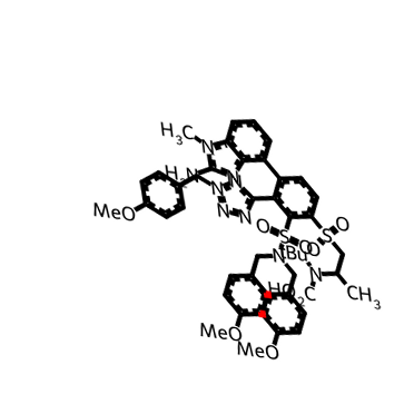 COc1ccc(CN(Cc2ccc(OC)cc2)S(=O)(=O)c2c(S(=O)(=O)CC(C)N(C(=O)O)C(C)(C)C)ccc(-c3cccc4c3nc(N)n4C)c2-c2nnn(Cc3ccc(OC)cc3)n2)cc1